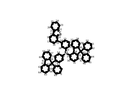 c1ccc(C2(c3ccc(N(c4cccc(-c5cccc6c5sc5ccccc56)c4)c4cccc5c4-c4ccccc4C5(c4ccccc4)c4ccccc4)cc3)c3ccccc3-c3ccccc32)cc1